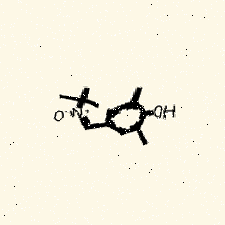 Cc1cc(/C=[N+](/[O-])C(C)(C)C)cc(C)c1O